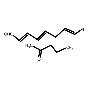 CC/C=C/C/C=C/C=C/C=O.CCCC(C)=O